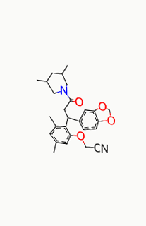 Cc1cc(C)c(C(CC(=O)N2CC(C)CC(C)C2)c2ccc3c(c2)OCO3)c(OCC#N)c1